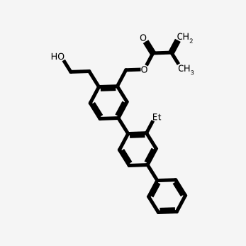 C=C(C)C(=O)OCc1cc(-c2ccc(-c3ccccc3)cc2CC)ccc1CCO